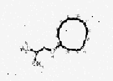 CC(C)COC1CCCCCCCCCCC1